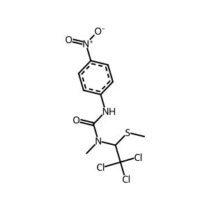 CSC(N(C)C(=O)Nc1ccc([N+](=O)[O-])cc1)C(Cl)(Cl)Cl